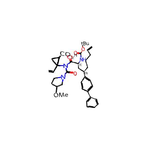 C=CCCC[C@H](C[C@H](NC(=O)OC(C)(C)C)C(=O)N(C(=O)N1CCC(OC)C1)C1(C=C)CC1C(=O)O)c1ccc(-c2ccccc2)cc1